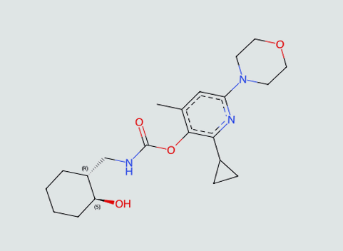 Cc1cc(N2CCOCC2)nc(C2CC2)c1OC(=O)NC[C@H]1CCCC[C@@H]1O